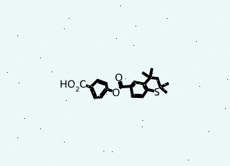 CC1(C)CC(C)(C)c2cc(C(=O)Oc3ccc(C(=O)O)cc3)ccc2S1